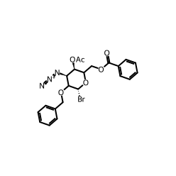 CC(=O)O[C@H]1C(COC(=O)c2ccccc2)O[C@H](Br)C(OCc2ccccc2)[C@H]1N=[N+]=[N-]